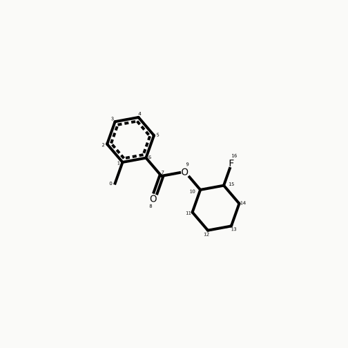 Cc1ccccc1C(=O)OC1CCCCC1F